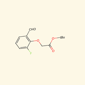 CC(C)(C)OC(=O)COc1c(F)cccc1C=O